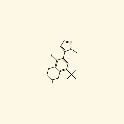 Cn1nccc1-c1cc(C(C)(C)C)c2c(c1F)CCNC2